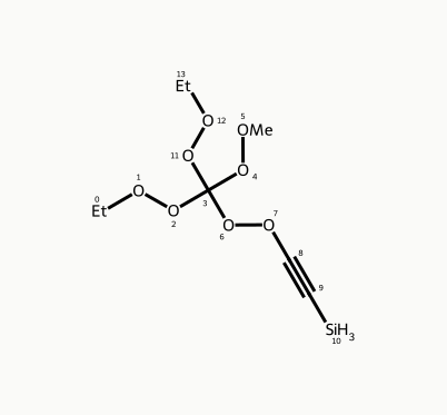 CCOOC(OOC)(OOC#C[SiH3])OOCC